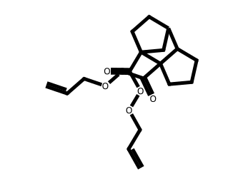 C=CCOOC(=O)C12CCC(C1)C1CCCC12C(=O)OOCC=C